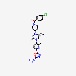 CC[C@H]1CN(c2ccc(-c3nnc(N)o3)nc2C)[C@H](C)CN1C1CCN(C(=O)c2ccc(Cl)cc2)CC1